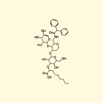 CCCCCCCC(OC1C(O)C(CO)OC(OC2CCOC(CNC(=O)C(c3ccccc3)c3ccccc3)C2OC2OC=C(O)C(O)C2O)C1O)C(=O)O